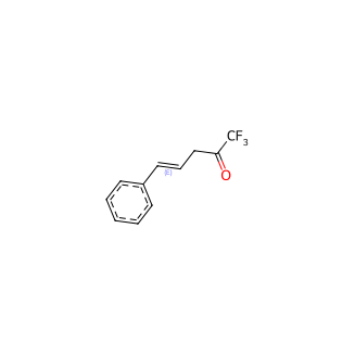 O=C(C/C=C/c1ccccc1)C(F)(F)F